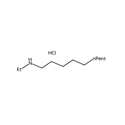 CCCCCCCCCCNCC.Cl